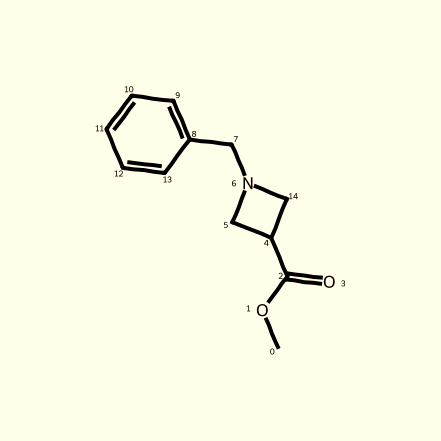 COC(=O)C1CN(Cc2ccccc2)C1